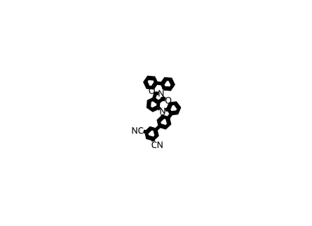 N#Cc1cc(C#N)cc(-c2ccc3c4ccccc4n(-c4cccc5c4C(=O)N(c4ccccc4-c4ccccc4)C5=O)c3c2)c1